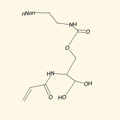 C=CC(=O)NC(COC(=O)NCCCCCCCCCCC)C(O)O